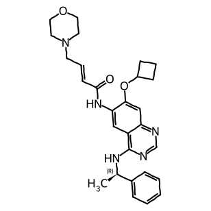 C[C@@H](Nc1ncnc2cc(OC3CCC3)c(NC(=O)C=CCN3CCOCC3)cc12)c1ccccc1